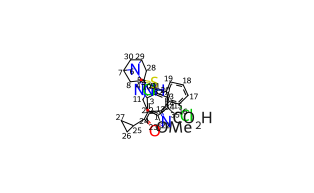 COc1cc2nc(N3C4CC(NCc5c(-c6c(Cl)cccc6Cl)noc5C5CC5)CC3C4)sc2cc1C(=O)O